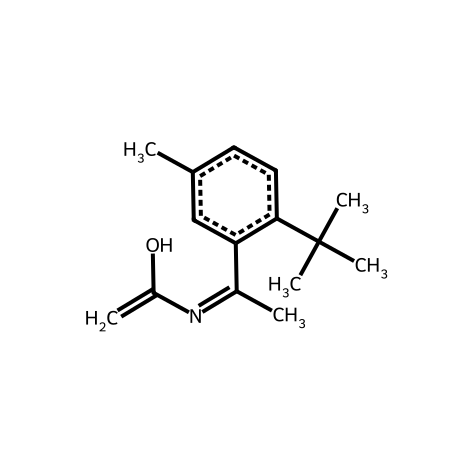 C=C(O)/N=C(/C)c1cc(C)ccc1C(C)(C)C